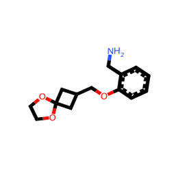 NCc1ccccc1OCC1CC2(C1)OCCO2